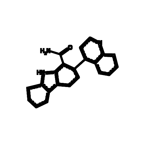 NC(=O)c1c(-c2ccnc3ccccc23)ccc2c1[nH]c1ccccc12